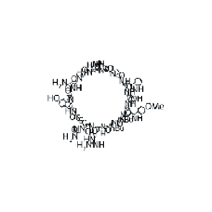 CCCC[C@H]1C(=O)N(C)[C@@H](CCCC)C(=O)NC(CCCNC(=N)N)C(=O)N[C@H](C(=O)NCC(N)=O)CSCC(=O)N[C@@H](Cc2ccc(O)cc2)C(=O)N(C)[C@@H](C)C(=O)N[C@@H](CC(N)=O)C(=O)N2CCC[C@H]2C(=O)N[C@@H](CN)C(=O)N[C@@H](CC(C)C)C(=O)N2CCCC2C(=O)N[C@@H](Cc2c[nH]c3ccccc23)C(=O)N[C@@H](CO)C(=O)N[C@@H](Cc2c(-c3ccc(OC)cc3)[nH]c3ccccc23)C(=O)N1C